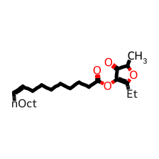 CCCCCCCC/C=C\CCCCCCCC(=O)OC1=C(CC)OC(C)C1=O